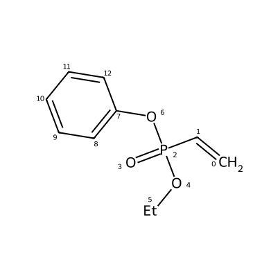 C=CP(=O)(OCC)Oc1ccccc1